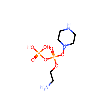 NCCOP(=O)(ON1CCNCC1)OP(=O)(O)O